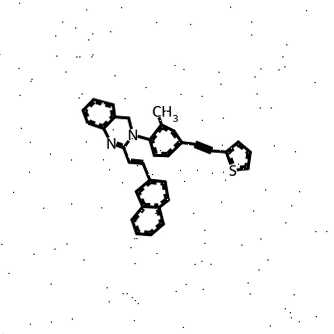 Cc1cc(C#Cc2cccs2)ccc1N1Cc2ccccc2N=C1/C=C/c1ccc2ccccc2c1